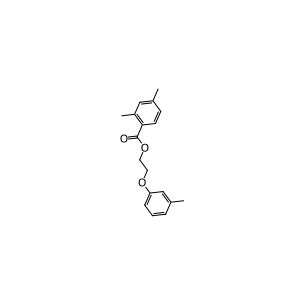 Cc1cccc(OCCOC(=O)c2ccc(C)cc2C)c1